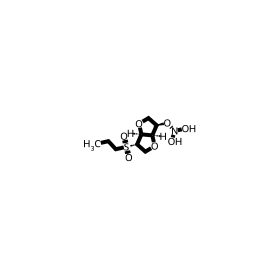 CCCS(=O)(=O)[C@H]1CO[C@H]2[C@@H]1OC[C@H]2ON(O)O